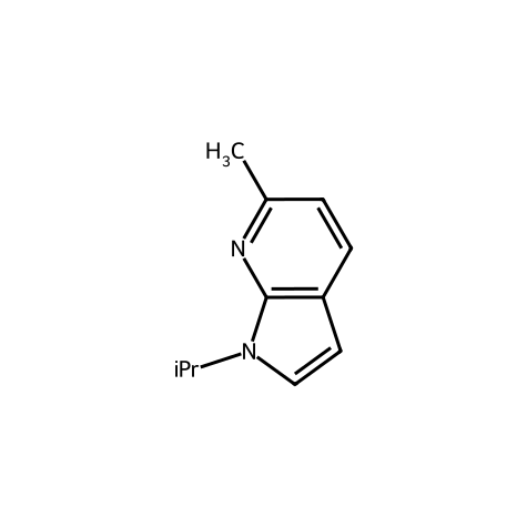 Cc1ccc2ccn(C(C)C)c2n1